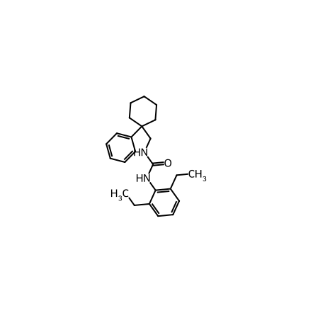 CCc1cccc(CC)c1NC(=O)NCC1(c2ccccc2)CCCCC1